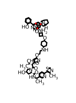 Cc1ncsc1-c1ccc([C@H](C)NC(=O)[C@@H]2C[C@@H](O)CN2C(=O)[C@@H](c2cc(OCCNC3CCC(OC4CC(Oc5cc(N6C7CC[C@@H]6CN(c6cc(-c8ccccc8O)nnc6N)C7)ccn5)C4)CC3)no2)C(C)C)cn1